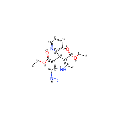 CCOC(=O)C1=C(C)NC(CN)=C(C(=O)OCC)C1c1ccccn1